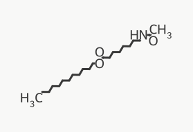 CCCCCCCCCCCCOC(=O)CCCCCCCNC(C)=O